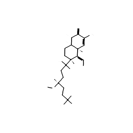 CCCC(C)(C)CC[C@@](C)(CCC(C)(C)[C@]1(C)CC[C@H]2[C@H](C)C(=O)C(C#N)=C[C@]2(C)/C1=C/C(C)=O)NC(=O)OCC